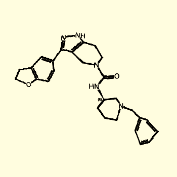 O=C(N[C@@H]1CCCN(Cc2ccccc2)C1)N1CCc2[nH]nc(-c3ccc4c(c3)CCO4)c2C1